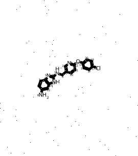 Nc1ccc2nc(NCc3ccc(Oc4ccc(Cl)cc4)nc3)[nH]c2c1